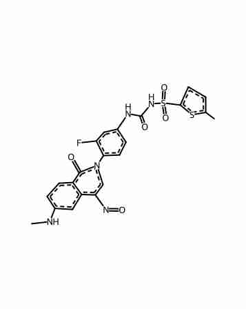 CNc1ccc2c(=O)n(-c3ccc(NC(=O)NS(=O)(=O)c4ccc(C)s4)cc3F)cc(N=O)c2c1